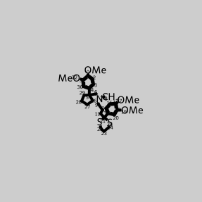 COc1ccc(C2(CN(C)CCCC3(c4ccc(OC)c(OC)c4)SCCCS3)CCCC2)cc1OC